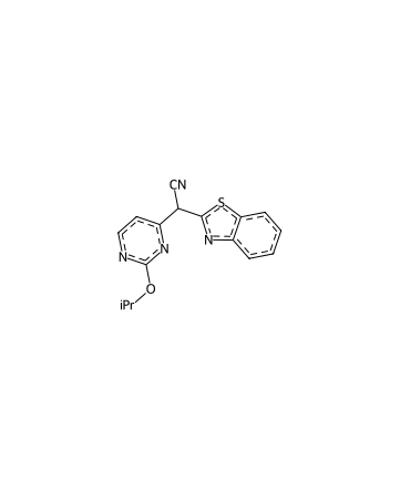 CC(C)Oc1nccc(C(C#N)c2nc3ccccc3s2)n1